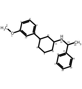 COc1cccc(C2CCCC(NC(C)c3ccccc3)C2)c1